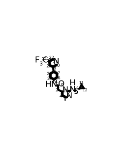 O=C(Cc1ccnc(NSC2CC2)n1)Nc1ccc(-c2cncc(C(F)(F)F)c2)cc1